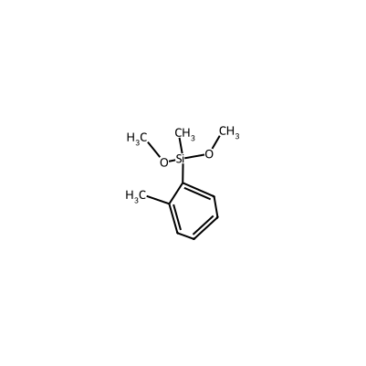 CO[Si](C)(OC)c1ccccc1C